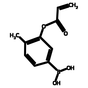 C=CC(=O)Oc1cc(B(O)O)ccc1C